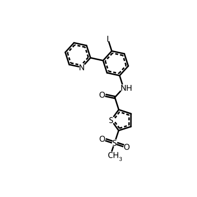 CS(=O)(=O)c1ccc(C(=O)Nc2ccc(I)c(-c3ccccn3)c2)s1